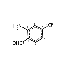 Nc1cc(C(F)(F)F)ccc1C=O